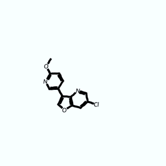 COc1ccc(-c2coc3cc(Cl)cnc23)cn1